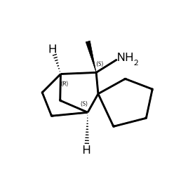 C[C@]1(N)[C@@H]2CC[C@@H](C2)C12CCCC2